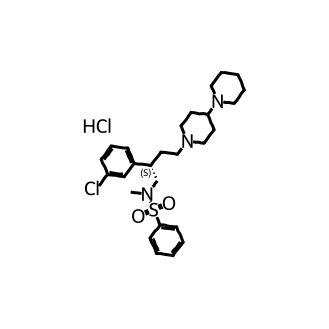 CN(C[C@@H](CCN1CCC(N2CCCCC2)CC1)c1cccc(Cl)c1)S(=O)(=O)c1ccccc1.Cl